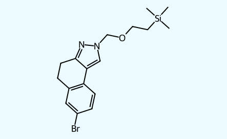 C[Si](C)(C)CCOCn1cc2c(n1)CCc1cc(Br)ccc1-2